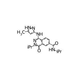 Cc1cc(Nc2nn(C(C)C)c(=O)c3cc(C(=O)NC(C)C)ccc23)n[nH]1